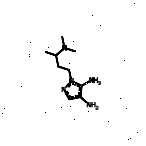 CC(CCn1ncc(N)c1N)N(C)C